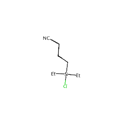 CC[Si](Cl)(CC)CCCC#N